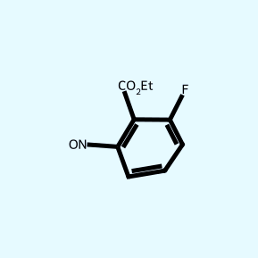 CCOC(=O)c1c(F)cccc1N=O